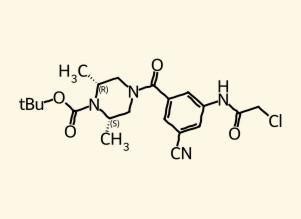 C[C@@H]1CN(C(=O)c2cc(C#N)cc(NC(=O)CCl)c2)C[C@H](C)N1C(=O)OC(C)(C)C